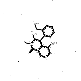 CNCc1ccccc1-c1c(OC)n(C)c(=O)c2cncc(OC)c12